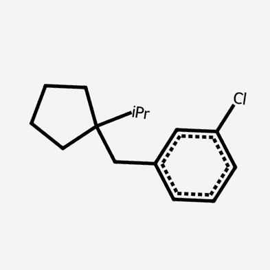 CC(C)C1(Cc2cccc(Cl)c2)CCCC1